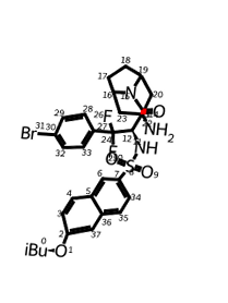 CC[C@H](C)Oc1ccc2cc(S(=O)(=O)N[C@H](C(=O)N3C4CCC3CC(N)C4)C(F)(F)c3ccc(Br)cc3)ccc2c1